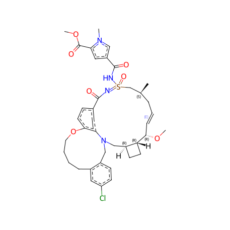 COC(=O)c1cc(C(=O)NS2(=O)=NC(=O)c3ccc4c(c3)N(Cc3ccc(Cl)cc3CCCCO4)C[C@@H]3CC[C@H]3[C@@H](OC)/C=C/C[C@H](C)C2)cn1C